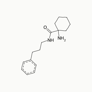 NC1(C(=O)NCCCc2ccccc2)CCCCC1